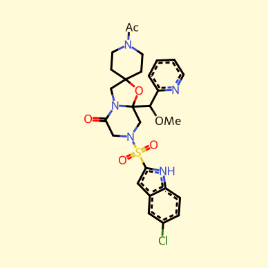 COC(c1ccccn1)C12CN(S(=O)(=O)c3cc4cc(Cl)ccc4[nH]3)CC(=O)N1CC1(CCN(C(C)=O)CC1)O2